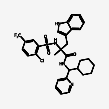 CC(Cc1c[nH]c2ccccc12)(NS(=O)(=O)c1cc(C(F)(F)F)ccc1Cl)C(=O)NC(c1ccccn1)C1CCCCC1